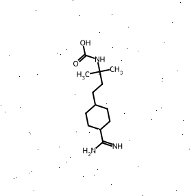 CC(C)(CCC1CCC(C(=N)N)CC1)NC(=O)O